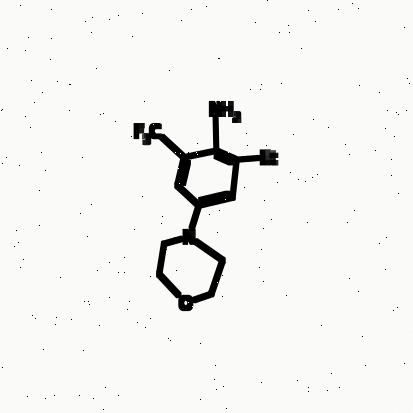 CCc1cc(N2CCOCC2)cc(C(F)(F)F)c1N